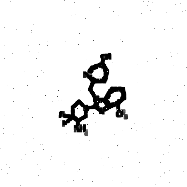 N#Cc1ccc(Cn2c(N3CCC(F)(F)C(N)C3)nc3c(C(F)(F)F)cccc32)nc1